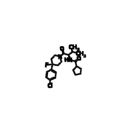 CC(C)[C@@H](NC(=O)C1CCCC1)C(=O)N1CCC(F)(c2ccc(Cl)cc2)CC1